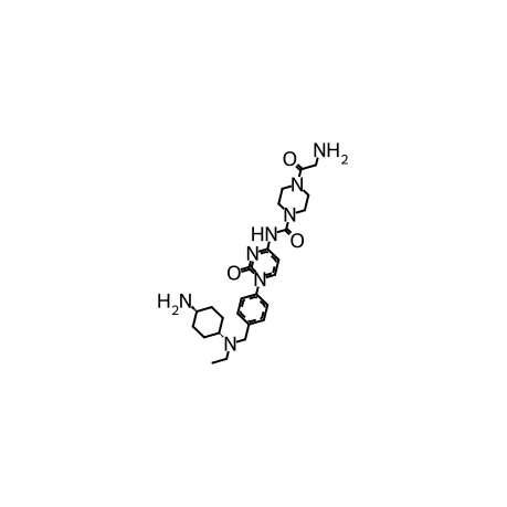 CCN(Cc1ccc(-n2ccc(NC(=O)N3CCN(C(=O)CN)CC3)nc2=O)cc1)[C@H]1CC[C@H](N)CC1